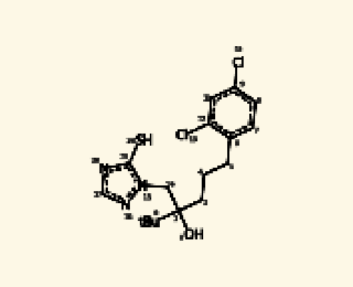 CC(C)(C)C(O)(CCCc1ccc(Cl)cc1Cl)Cn1ncnc1S